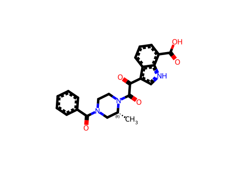 C[C@@H]1CN(C(=O)c2ccccc2)CCN1C(=O)C(=O)c1c[nH]c2c(C(=O)O)cccc12